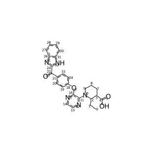 CCC1C(C(=O)O)CCCN1c1nccnc1Oc1ccc(C(=O)c2nc3ccccc3[nH]2)cc1